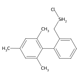 Cc1cc(C)c(-c2ccccc2C[SiH2]Cl)c(C)c1